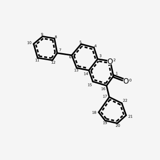 O=c1oc2ccc(-c3ccccc3)cc2cc1-c1ccccc1